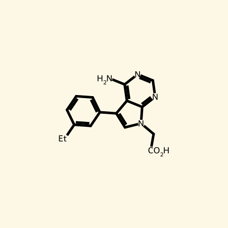 CCc1cccc(-c2cn(CC(=O)O)c3ncnc(N)c23)c1